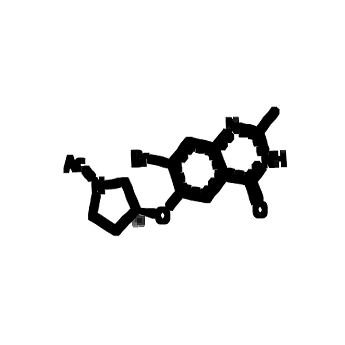 CC(=O)N1CC[C@H](Oc2cc3c(=O)[nH]c(C)nc3cc2Br)C1